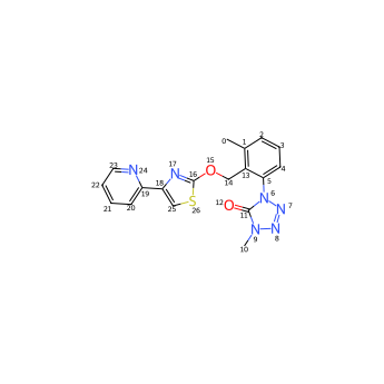 Cc1cccc(-n2nnn(C)c2=O)c1COc1nc(-c2ccccn2)cs1